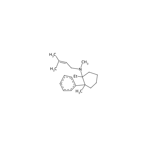 CCC1(N(C)CC=C(C)C)CCCCC1(C)c1ccccc1